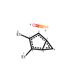 CCc1cc2cc-2c1CC.O=P